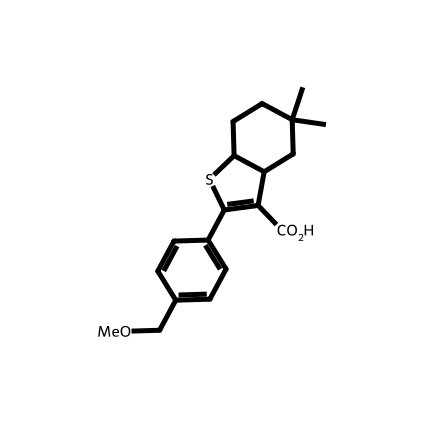 COCc1ccc(C2=C(C(=O)O)C3CC(C)(C)CCC3S2)cc1